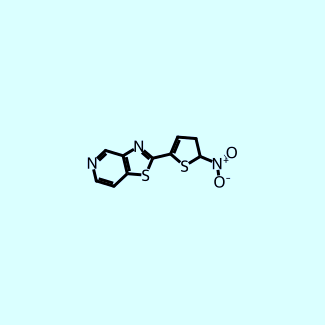 O=[N+]([O-])C1CC=C(c2nc3cnccc3s2)S1